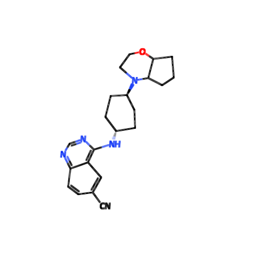 N#Cc1ccc2ncnc(N[C@H]3CC[C@H](N4CCOC5CCCC54)CC3)c2c1